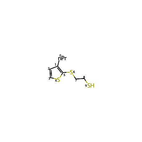 CCCc1ccsc1SCCS